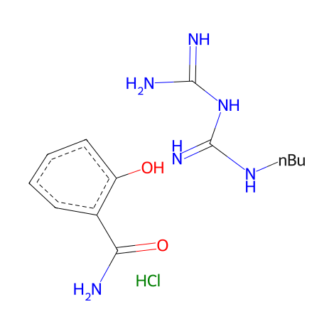 CCCCNC(=N)NC(=N)N.Cl.NC(=O)c1ccccc1O